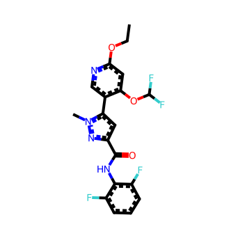 CCOc1cc(OC(F)F)c(-c2cc(C(=O)Nc3c(F)cccc3F)nn2C)cn1